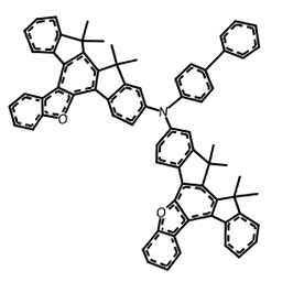 CC1(C)c2cc(N(c3ccc(-c4ccccc4)cc3)c3ccc4c(c3)C(C)(C)c3c5c(c6c(oc7ccccc76)c3-4)-c3ccccc3C5(C)C)ccc2-c2c1c1c(c3c2oc2ccccc23)-c2ccccc2C1(C)C